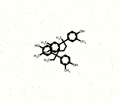 CCC(CCCC(C)(c1ccc(O)c(C)c1)c1ccc(O)c(C)c1)(c1ccc(O)c(C)c1)c1ccc(O)c(C)c1